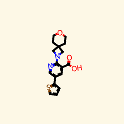 O=C(O)c1cc(-c2cccs2)cnc1N1CC2(CCOCC2)C1